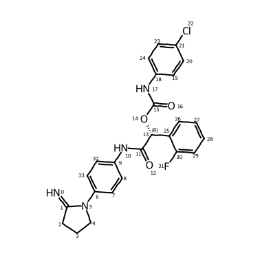 N=C1CCCN1c1ccc(NC(=O)[C@H](OC(=O)Nc2ccc(Cl)cc2)c2ccccc2F)cc1